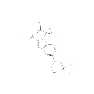 COC(=O)c1cc2cc(C3CCOC(C)(C)C3)cnc2n1C1(C(=N)NO)CC1C